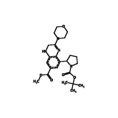 COC(=O)c1cc2c(c(C3CCCN3C(=O)OC(C)(C)C)c1)N=C(N1CCOCC1)CN2